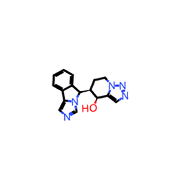 O[C@@H]1c2cnnn2CC[C@@H]1C1c2ccccc2-c2cncn21